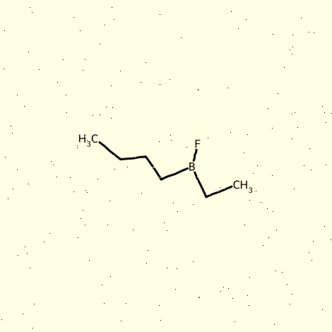 CCCCB(F)CC